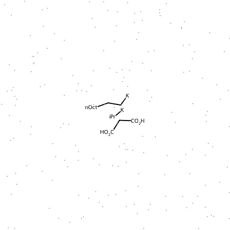 CCCCCCCCC[CH2][K].C[CH](C)[K].O=C(O)CC(=O)O